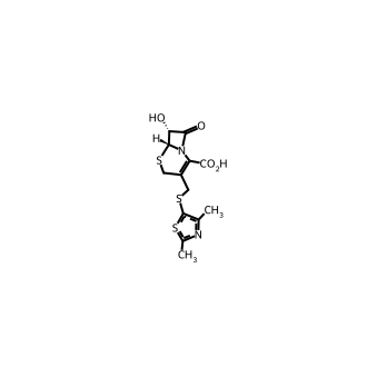 Cc1nc(C)c(SCC2=C(C(=O)O)N3C(=O)[C@@H](O)[C@H]3SC2)s1